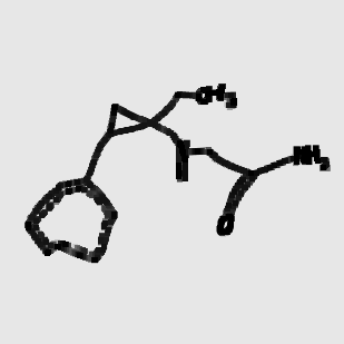 CCC1(NCC(N)=O)CC1c1ccccc1